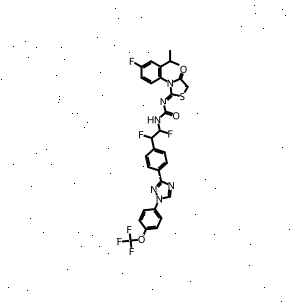 CC(C)c1cc(F)ccc1N1C(=O)CS/C1=N\C(=O)NC(F)C(F)c1ccc(-c2ncn(-c3ccc(OC(F)(F)F)cc3)n2)cc1